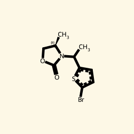 CC(c1ccc(Br)s1)N1C(=O)OC[C@H]1C